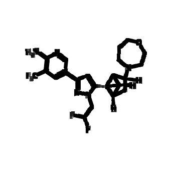 Nc1ncc(-c2cc([C@@]34C5[C@H](N6CCCOCC6)C[C@H]3[C@@H]54)n(CC(F)F)n2)cc1C(F)(F)F